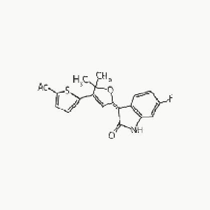 CC(=O)c1ccc(C2=C/C(=C3\C(=O)Nc4cc(F)ccc43)OC2(C)C)s1